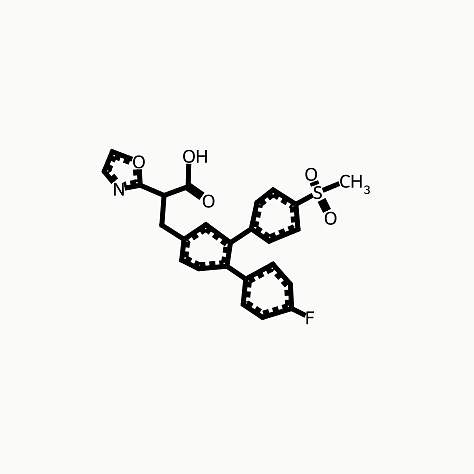 CS(=O)(=O)c1ccc(-c2cc(CC(C(=O)O)c3ncco3)ccc2-c2ccc(F)cc2)cc1